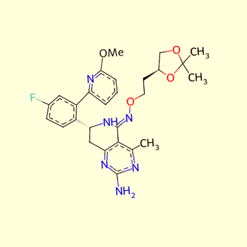 COc1cccc(-c2cc(F)ccc2[C@H]2Cc3nc(N)nc(C)c3/C(=N/OCC[C@H]3COC(C)(C)O3)N2)n1